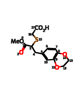 COC(=O)C(Cc1ccc2c(c1)OCCO2)SCC(=O)O